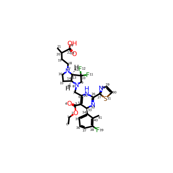 CCOC(=O)C1=C(CN2CC(F)(F)[C@H]3[C@@H]2CCN3CCC(C)C(=O)O)NC(c2nccs2)=N[C@H]1c1cccc(F)c1C